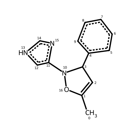 CC1=CC(c2ccccc2)N(c2c[nH]cn2)O1